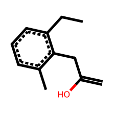 C=C(O)Cc1c(C)cccc1CC